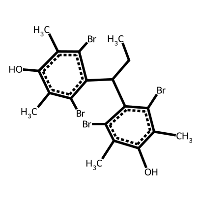 CCC(c1c(Br)c(C)c(O)c(C)c1Br)c1c(Br)c(C)c(O)c(C)c1Br